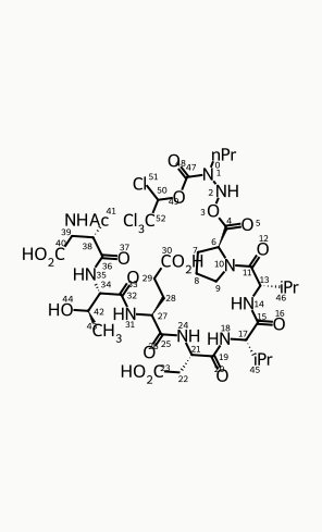 CCCN(NOC(=O)[C@@H]1CCCN1C(=O)[C@@H](NC(=O)[C@@H](NC(=O)[C@H](CC(=O)O)NC(=O)[C@H](CCC(=O)O)NC(=O)[C@@H](NC(=O)[C@H](CC(=O)O)NC(C)=O)[C@@H](C)O)C(C)C)C(C)C)C(=O)OC(Cl)C(Cl)(Cl)Cl